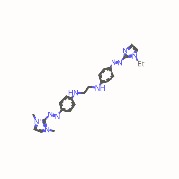 CCn1ccnc1/N=N/c1ccc(NCCNc2ccc(/N=N/c3n(C)cc[n+]3C)cc2)cc1